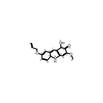 C=CCOC1=CC2=CC3=C(C=C(OC)C(=O)C3O)NC2C=C1